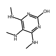 CNc1nc(O)nc(NC)c1NC